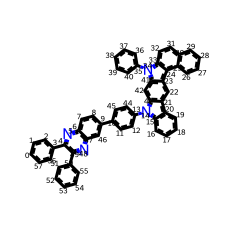 c1ccc(-c2nc3ccc(-c4ccc(-n5c6ccccc6c6cc7c8c9ccccc9ccc8n(-c8ccccc8)c7cc65)cc4)cc3nc2-c2ccccc2)cc1